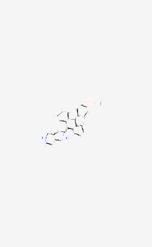 COc1ccc(-c2c3ccccc3c(-c3cc4cnccc4cn3)c3ccccc23)cc1